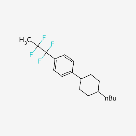 CCCCC1CCC(c2ccc(C(F)(F)C(C)(F)F)cc2)CC1